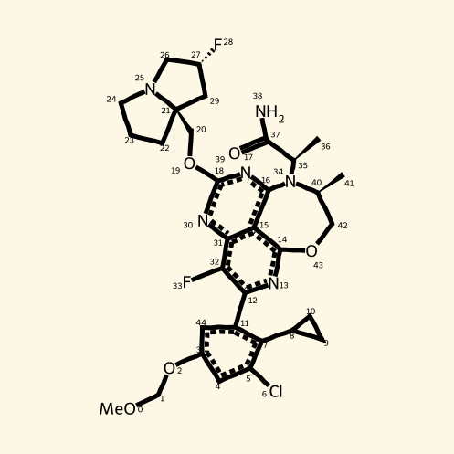 COCOc1cc(Cl)c(C2CC2)c(-c2nc3c4c(nc(OC[C@@]56CCCN5C[C@H](F)C6)nc4c2F)N([C@H](C)C(N)=O)[C@@H](C)CO3)c1